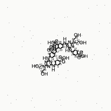 O=S(=O)(O)c1ccc(Nc2nc(Nc3ccc(C=Cc4ccc(Nc5nc(Nc6ccc(S(=O)(=O)O)cc6)nc(N(CCO)CCO)n5)cc4S(=O)(=O)O)c(S(=O)(=O)O)c3)nc(N(CCO)CCO)n2)cc1